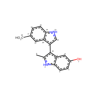 Cc1[nH]c2ccc(O)cc2c1-c1c[nH]c2ccc(C(=O)O)cc12